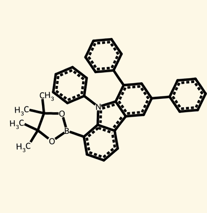 CC1(C)OB(c2cccc3c4cc(-c5ccccc5)cc(-c5ccccc5)c4n(-c4ccccc4)c23)OC1(C)C